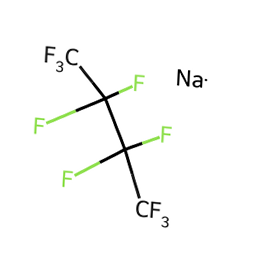 FC(F)(F)C(F)(F)C(F)(F)C(F)(F)F.[Na]